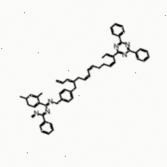 C=C/C=C(/C/C=C\C=C/CC/C=C\C(=C/C)c1nc(-c2ccccc2)nc(-c2ccccc2)n1)Cc1ccc(C/N=C(\N=C(/N=C)c2ccccc2)C2=CCC(C)C=C2C)cc1